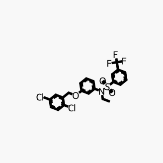 CCN(c1cccc(OCc2cc(Cl)ccc2Cl)c1)S(=O)(=O)c1cccc(C(F)(F)F)c1